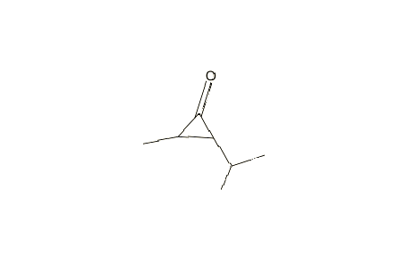 CC(C)C1C(=O)C1C